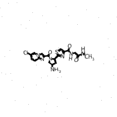 CNC(=O)CNC(=O)c1csc(C2CC(N)CN2C(=O)c2cn3cc(Cl)ccc3n2)n1